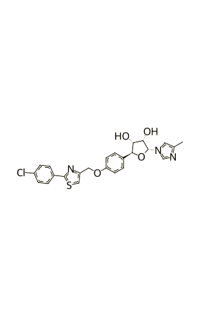 Cc1cn([C@@H]2O[C@@H](c3ccc(OCc4csc(-c5ccc(Cl)cc5)n4)cc3)[C@H](O)[C@@H]2O)cn1